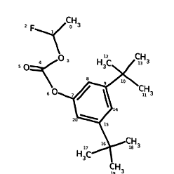 CC(F)OC(=O)Oc1cc(C(C)(C)C)cc(C(C)(C)C)c1